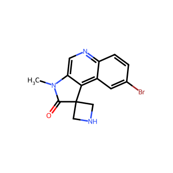 CN1C(=O)C2(CNC2)c2c1cnc1ccc(Br)cc21